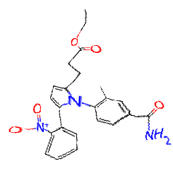 CCOC(=O)CCc1ccc(-c2ccccc2[N+](=O)[O-])n1-c1ccc(C(N)=O)cc1C